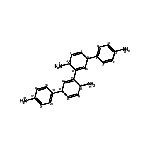 Nc1ccc(C2C=CN(N)C(C3=CC(c4ccc(N)cc4)C=CN3N)=C2)cc1